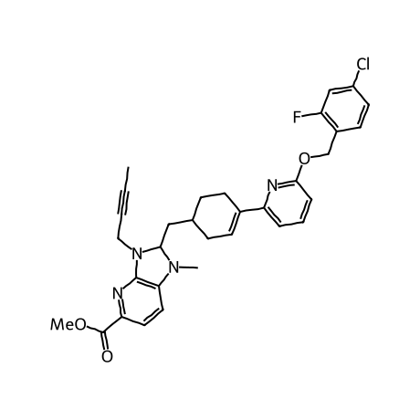 CC#CCN1c2nc(C(=O)OC)ccc2N(C)C1CC1CC=C(c2cccc(OCc3ccc(Cl)cc3F)n2)CC1